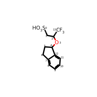 O=S(=O)(O)CC(OC1CCc2ccccc21)C(F)(F)F